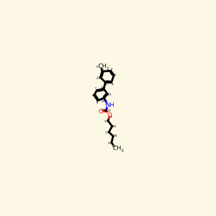 [CH2]c1cccc(-c2cccc(NC(=O)OCCCCCC)c2)c1